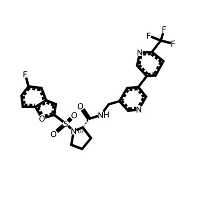 O=C(NCc1cncc(-c2ccc(C(F)(F)F)nc2)c1)[C@@H]1CCCN1S(=O)(=O)c1cc2cc(F)ccc2o1